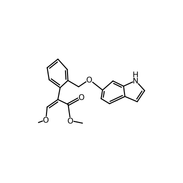 COC=C(C(=O)OC)c1ccccc1COc1ccc2cc[nH]c2c1